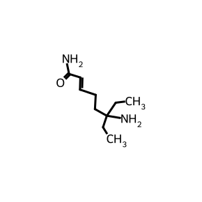 CCC(N)(CC)CCC=CC(N)=O